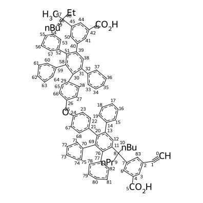 C#Cc1cc(C(=O)O)cc(C(CCC)(CCCC)c2cc(-c3ccccc3)c(-c3ccc(Oc4ccc(-c5c(-c6ccccc6)cc(-c6cc(C(=O)O)cc(C(C)(CC)CCCC)c6)c(-c6ccccc6)c5-c5ccccc5)cc4)cc3)c(-c3ccccc3)c2-c2ccccc2)c1